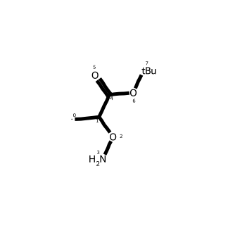 [CH2]C(ON)C(=O)OC(C)(C)C